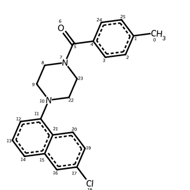 Cc1ccc(C(=O)N2CCN(c3cccc4cc(Cl)ccc34)CC2)cc1